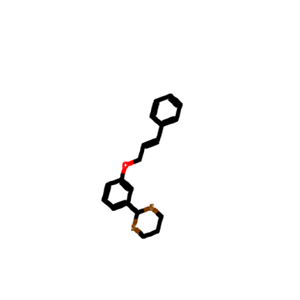 C(=Cc1ccccc1)COc1cccc(C2SCCCS2)c1